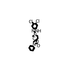 O=C1OC2(CCN(c3nc4cc(Cl)c(Cl)cc4[nH]3)CC2)CN1c1ccccc1